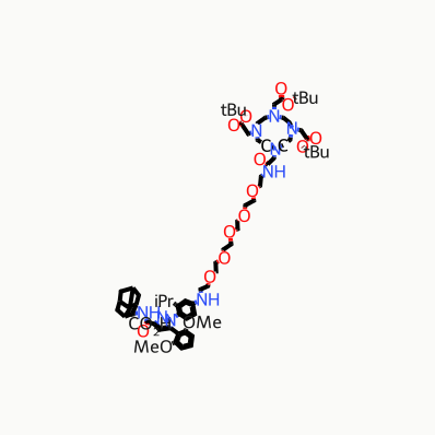 COc1cccc(OC)c1-c1cc(C(=O)NC2(C(=O)O)C3CC4CC(C3)CC2C4)nn1-c1ccc(NCCOCCOCCOCCOCCOCCNC(=O)CN2CCN(CC(=O)OC(C)(C)C)CCN(CC(=O)OC(C)(C)C)CCN(CC(=O)OC(C)(C)C)CC2)cc1C(C)C